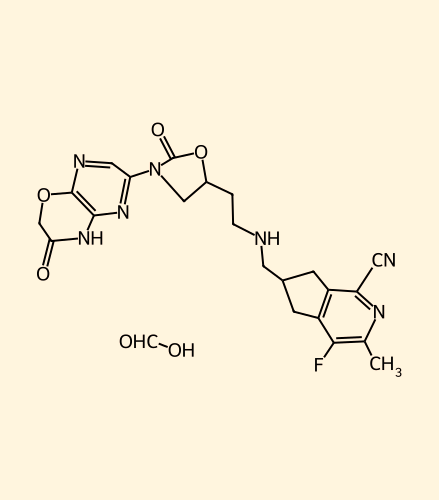 Cc1nc(C#N)c2c(c1F)CC(CNCCC1CN(c3cnc4c(n3)NC(=O)CO4)C(=O)O1)C2.O=CO